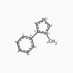 [CH2]n1cncc1-c1ccccc1